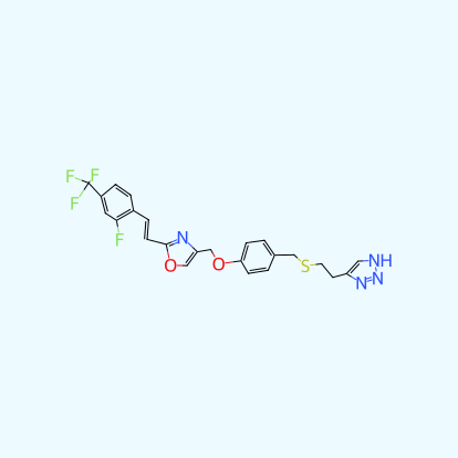 Fc1cc(C(F)(F)F)ccc1C=Cc1nc(COc2ccc(CSCCc3c[nH]nn3)cc2)co1